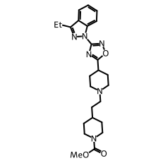 CCc1nn(-c2noc(C3CCN(CCC4CCN(C(=O)OC)CC4)CC3)n2)c2ccccc12